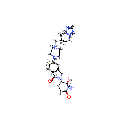 O=C1CCC(N2Cc3cc(N4CCN(Cc5ccn6ncnc6c5)CC4)c(F)cc3C2=O)C(=O)N1